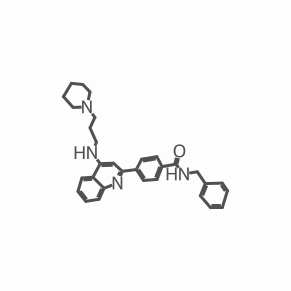 O=C(NCc1ccccc1)c1ccc(-c2cc(NCCCN3CCCCC3)c3ccccc3n2)cc1